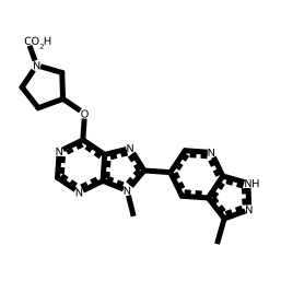 Cc1n[nH]c2ncc(-c3nc4c(OC5CCN(C(=O)O)C5)ncnc4n3C)cc12